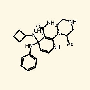 CC(=O)C1CNCCN1C1=C(C(N)=O)C(Nc2ccccc2)(N(C)C2CCC2)C=CN1